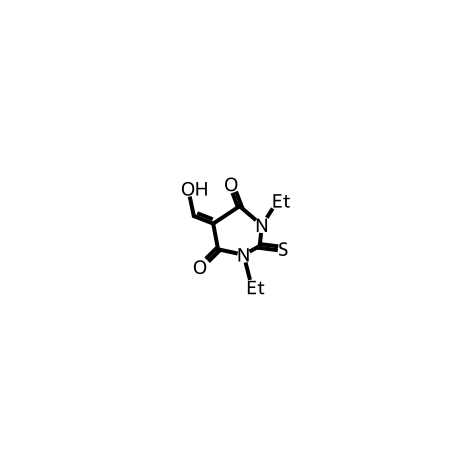 CCN1C(=O)C(=CO)C(=O)N(CC)C1=S